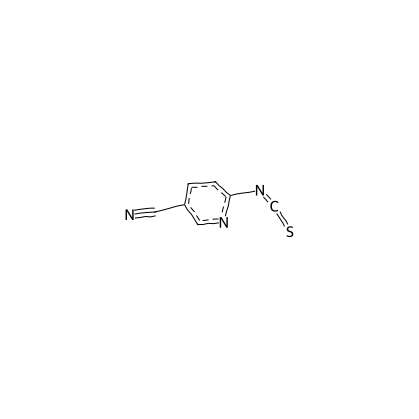 N#Cc1ccc(N=C=S)nc1